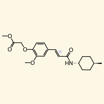 COC(=O)COc1ccc(/C=C/C(=O)N[C@H]2CC[C@H](C)CC2)cc1OC